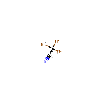 N#CC(Br)(Br)Br